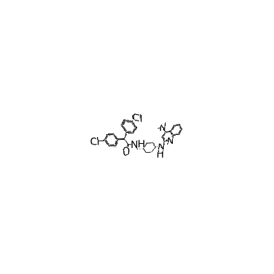 CN(C)c1cc(N[C@H]2CC[C@@H](CNC(=O)C(c3ccc(Cl)cc3)c3ccc(Cl)cc3)CC2)nc2ccccc12